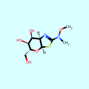 CON(C)C1=N[C@@H]2[C@H](O)[C@H](O)[C@@H](CO)O[C@@H]2S1